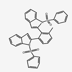 Cc1cccc(-c2cc3ccccc3n2S(=O)(=O)c2ccccc2)c1-c1cc2ccccc2n1S(=O)(=O)c1ccccc1